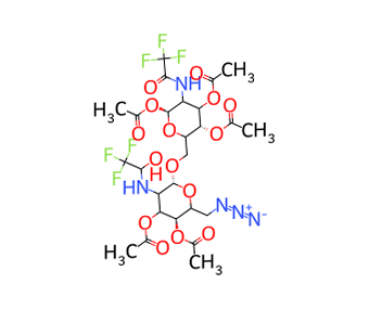 CC(=O)OC1C(NC(O)C(F)(F)F)[C@H](OCC2O[C@@H](OC(C)=O)C(NC(=O)C(F)(F)F)C(OC(C)=O)[C@@H]2OC(C)=O)OC(CN=[N+]=[N-])[C@H]1OC(C)=O